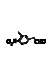 Cc1cc(CC=O)ccc1[N+](=O)[O-]